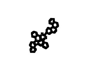 c1ccc(-c2nc(-c3ccc4c(ccc5ccc6ccccc6c54)c3)nc(-c3ccccc3-n3c4ccccc4c4c5ccccc5ccc43)n2)cc1